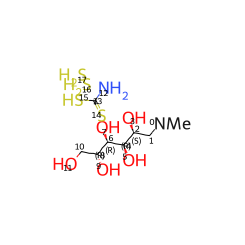 CNC[C@H](O)[C@@H](O)[C@H](O)[C@H](O)CO.NC(=S)S.S.S